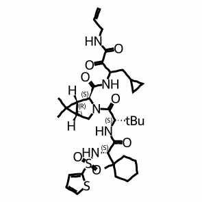 C=CCNC(=O)C(=O)C(CC1CC1)NC(=O)[C@@H]1[C@@H]2[C@H](CN1C(=O)[C@@H](NC(=O)[C@@H](NS(=O)(=O)c1cccs1)C1(C)CCCCC1)C(C)(C)C)C2(C)C